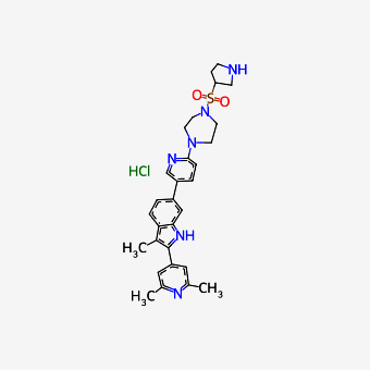 Cc1cc(-c2[nH]c3cc(-c4ccc(N5CCN(S(=O)(=O)C6CCNC6)CC5)nc4)ccc3c2C)cc(C)n1.Cl